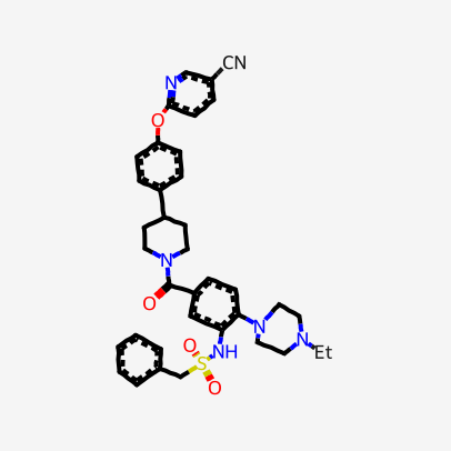 CCN1CCN(c2ccc(C(=O)N3CCC(c4ccc(Oc5ccc(C#N)cn5)cc4)CC3)cc2NS(=O)(=O)Cc2ccccc2)CC1